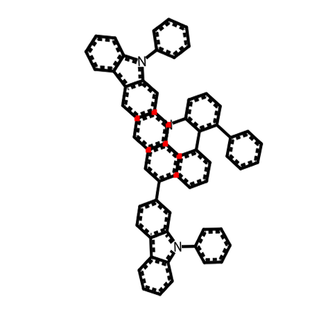 c1ccc(-c2ccccc2-c2c(-c3ccccc3)cccc2N(c2ccc(-c3ccc4c5ccccc5n(-c5ccccc5)c4c3)cc2)c2ccc3c4ccccc4n(-c4ccccc4)c3c2)cc1